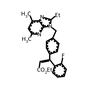 CCOC(=O)C=C(c1ccc(Cn2c(CC)nc3c(C)cc(C)nc32)cc1)c1ccccc1F